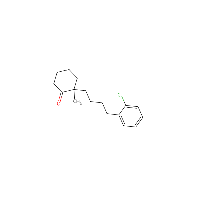 CC1(CCCCc2ccccc2Cl)CCCCC1=O